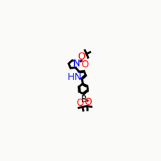 CC(C)(C)OC(=O)N1CCCC1c1ccc(-c2ccc(B3OC(C)(C)C(C)(C)O3)cc2)[nH]1